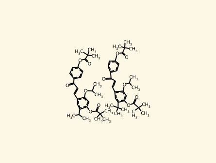 CC(C)Oc1cc(OC(=O)C(C)(C)C)c(C(C)(C)C)cc1C=CC(=O)c1ccc(OC(=O)C(C)(C)C)cc1.CC(C)Oc1cc(OC(=O)C(C)(C)C)c(C(C)C)cc1C=CC(=O)c1ccc(OC(=O)C(C)(C)C)cc1